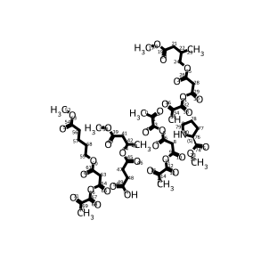 CC(=O)C(=O)OC(=O)CC(=O)OC(=O)C(C)=O.COC(=O)CC(C)COC(=O)CC(=O)OC(=O)C(C)=O.COC(=O)CC(C)OC(=O)CCC(=O)O.COC(=O)CCCCOC(=O)CC(=O)OC(=O)C(C)=O.COC(=O)[C@@H]1CCCN1